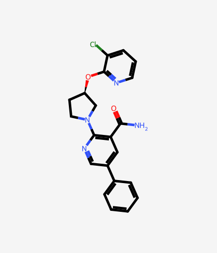 NC(=O)c1cc(-c2ccccc2)cnc1N1CC[C@@H](Oc2ncccc2Cl)C1